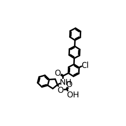 O=C(O)OC1(NC(=O)c2ccc(Cl)c(-c3ccc(-c4ccccc4)cc3)c2)Cc2ccccc2C1